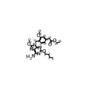 CCCCOc1nc(N)c2nc(OC)n(Cc3ccc(CC(=O)OCC)cc3OC)c2n1